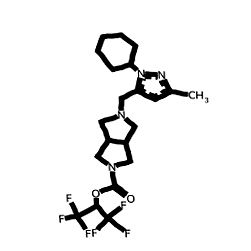 Cc1cc(CN2CC3CN(C(=O)OC(C(F)(F)F)C(F)(F)F)CC3C2)n(C2CCCCC2)n1